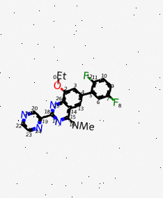 CCOc1cc(-c2cc(F)ccc2F)cc2c(NC)nc(-c3cnccn3)nc12